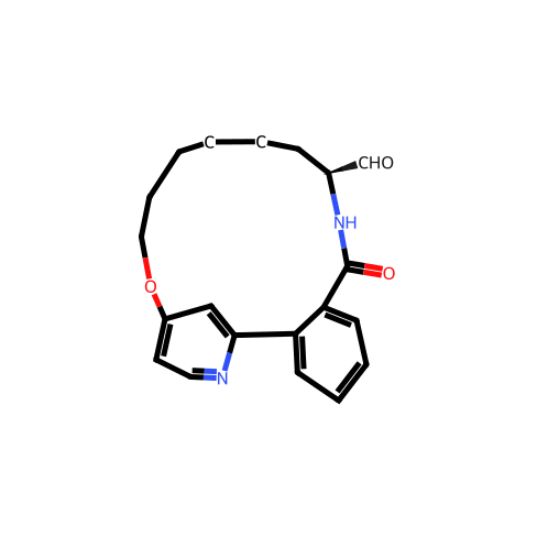 O=C[C@@H]1CCCCCCOc2ccnc(c2)-c2ccccc2C(=O)N1